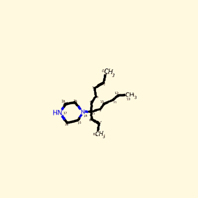 CCCCCC(CCC)(CCCCC)N1CCNCC1